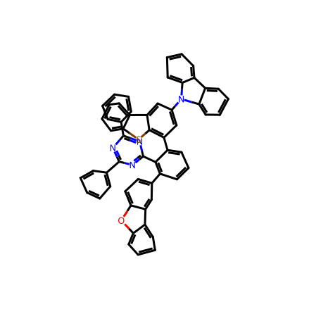 c1ccc(-c2nc(-c3ccccc3)nc(-c3c(-c4ccc5oc6ccccc6c5c4)cccc3-c3cc(-n4c5ccccc5c5ccccc54)cc4c3sc3ccccc34)n2)cc1